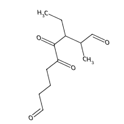 CCC(C(=O)C(=O)CCCC=O)C(C)C=O